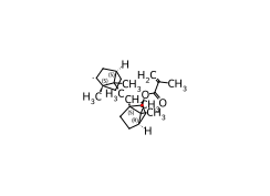 C=C(C)C(=O)OC1C[C@H]2CC[C@@]1(C)C2(C)C.CC1(C)[C@H]2C[CH][C@@]1(C)CC2